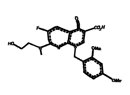 COc1ccc(Cn2cc(C(=O)O)c(=O)c3cc(F)c(N(C)CCO)nc32)c(OC)c1